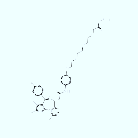 Cc1sc2c(c1C)C(c1ccc(Cl)cc1)=N[C@@H](CC(=O)Nc1ccc(OCCOCCOCCOCC(=O)OC(C)(C)C)cc1)c1nnc(C)n1-2